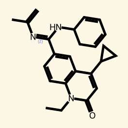 C=C(C)/N=C(\NC1C=CC=CC1)c1ccc2c(c1)c(C1CC1)cc(=O)n2CC